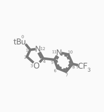 CC(C)(C)C1COC(c2ccc(C(F)(F)F)cn2)=N1